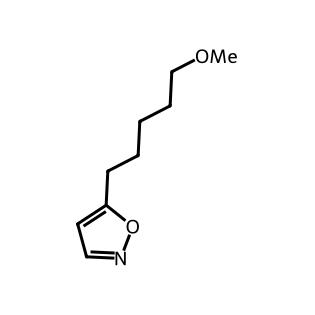 [CH2]OCCCCCc1ccno1